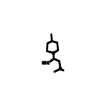 CC1CCN(C(C=O)CN(C)C)CC1